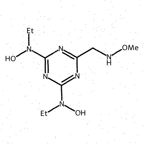 CCN(O)c1nc(CNOC)nc(N(O)CC)n1